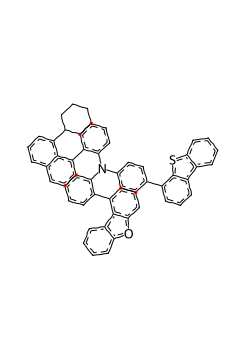 c1ccc(N(c2ccc(-c3cccc4c3sc3ccccc34)cc2)c2ccccc2-c2cccc3oc4ccccc4c23)c(-c2cccc3cccc(C4CCCCC4)c23)c1